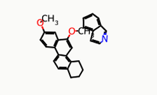 COc1ccc2c(c1)c(OC)cc1c3c(ccc12)CCCC3.c1ccc2cnccc2c1